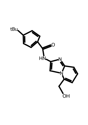 CC(C)(C)c1ccc(C(=O)Nc2cn3c(CO)cccc3n2)cc1